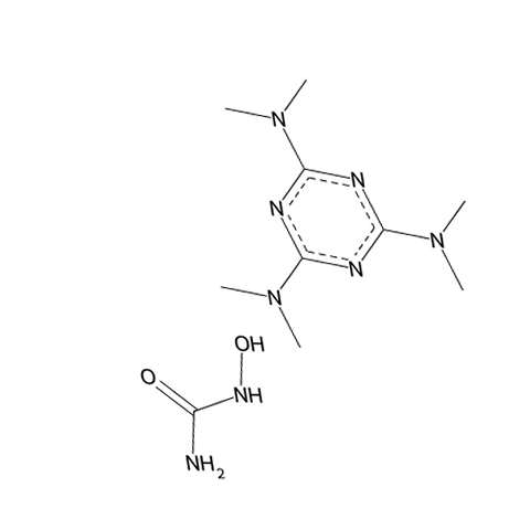 CN(C)c1nc(N(C)C)nc(N(C)C)n1.NC(=O)NO